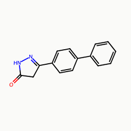 O=C1CC(c2ccc(-c3ccccc3)cc2)=NN1